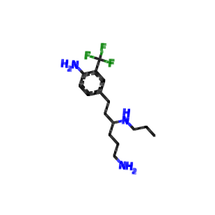 CCCNC(CCCN)CCc1ccc(N)c(C(F)(F)F)c1